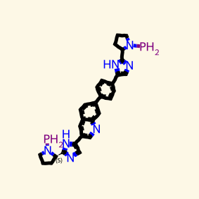 PN1CCCC1c1ncc(-c2ccc(-c3ccc4cc(-c5cnc([C@@H]6CCCN6P)[nH]5)cnc4c3)cc2)[nH]1